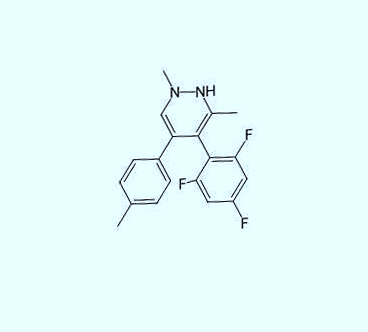 CC1=C(c2c(F)cc(F)cc2F)C(c2ccc(C)cc2)=CN(C)N1